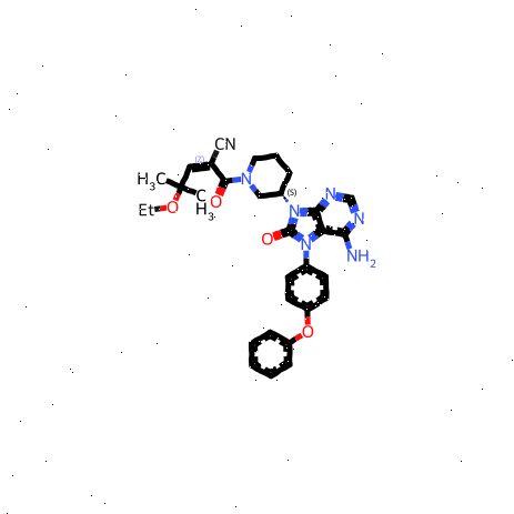 CCOC(C)(C)/C=C(/C#N)C(=O)N1CCC[C@H](n2c(=O)n(-c3ccc(Oc4ccccc4)cc3)c3c(N)ncnc32)C1